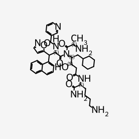 C[C@H](N)C(=O)N(C(=O)[C@@H](NC(=O)c1cccnc1)C(c1ccno1)c1cccc2ccccc12)[C@@H](CC1CCCCC1)[C@@H](O)CC(=O)N[C@@H](CCCCN)C(N)=O